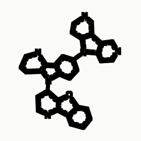 c1ccc2c(c1)oc1c(-n3c4ccc(-n5c6ccncc6c6cnccc65)cc4c4ncccc43)ccnc12